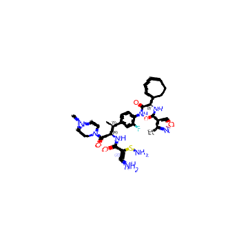 CCc1nocc1C(=O)N[C@H](C(=O)Nc1ccc([C@H](C)[C@@H](NC(=O)/C(=C/N)SN)C(=O)N2CCN(C)CC2)cc1F)C1CCCCCC1